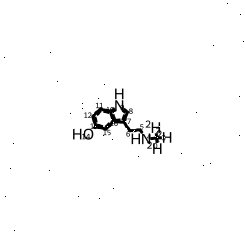 [2H]C([2H])([2H])NCCc1c[nH]c2ccc(O)cc12